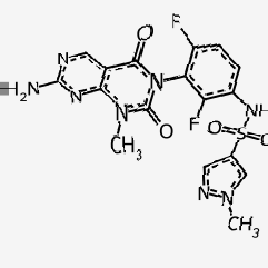 Cn1cc(S(=O)(=O)Nc2ccc(F)c(-n3c(=O)c4cnc(N)nc4n(C)c3=O)c2F)cn1